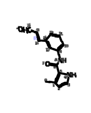 Cc1cc[nH]c1C(=O)Nc1cccc(/C=C/[C]=O)c1